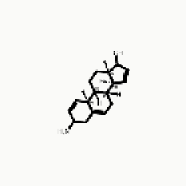 C[C@]12C=CC(N)CC1=CC[C@@H]1[C@H]2CC[C@]2(C)C(O)C=C[C@@H]12